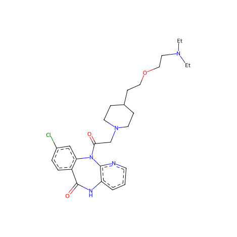 CCN(CC)CCOCCC1CCN(CC(=O)N2c3cc(Cl)ccc3C(=O)Nc3cccnc32)CC1